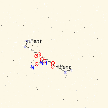 CCCCC/C=C\C/C=C\CCCCCCCC(=O)OCCCCC(CCCCOC(=O)CCCCCCC/C=C\C/C=C\CCCCC)OC(=O)NCCOCCN(C)C